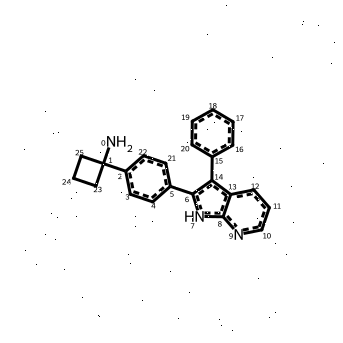 NC1(c2ccc(-c3[nH]c4ncccc4c3-c3ccccc3)cc2)CCC1